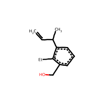 C=C[C](C)c1cccc(CO)c1CC